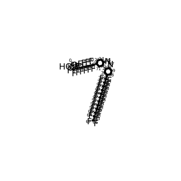 C[Si](O)(O)C(F)(F)C(F)(F)C(F)(F)C(F)(F)C(F)(F)C(F)(F)c1ccc(/N=N\c2ccc(C(F)(F)C(F)(F)C(F)(F)C(F)(F)C(F)(F)C(F)(F)C(F)(F)C(F)(F)C(F)(F)C(F)(F)C(F)(F)C(F)F)cc2)cc1